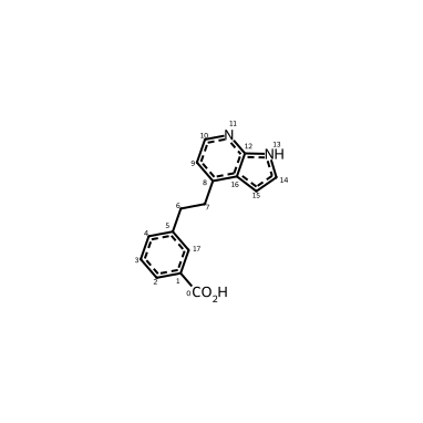 O=C(O)c1cccc(CCc2ccnc3[nH]ccc23)c1